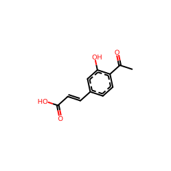 CC(=O)c1ccc(C=CC(=O)O)cc1O